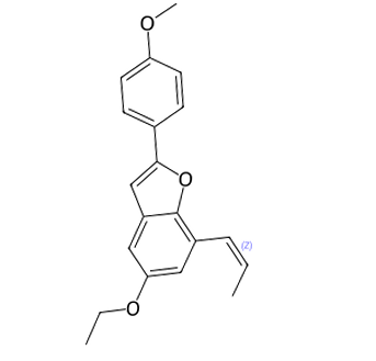 C/C=C\c1cc(OCC)cc2cc(-c3ccc(OC)cc3)oc12